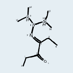 CCC(=O)C(CC)=NN([SiH](C)C)[SiH](C)C